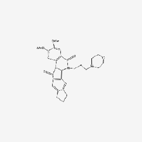 COc1cc2c(cc1OC)C1C(=O)c3cc4c(cc3C1N(CCCN1CCOCC1)C2=O)CCC4